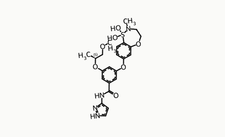 COC[C@H](C)Oc1cc(Oc2ccc3c(c2)OCCN(C)S3(O)O)cc(C(=O)Nc2cc[nH]n2)c1